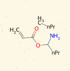 C=CC(=O)OC(N)CCC.CCCC